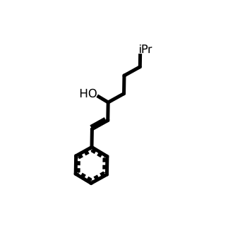 CC(C)CCCC(O)C=Cc1ccccc1